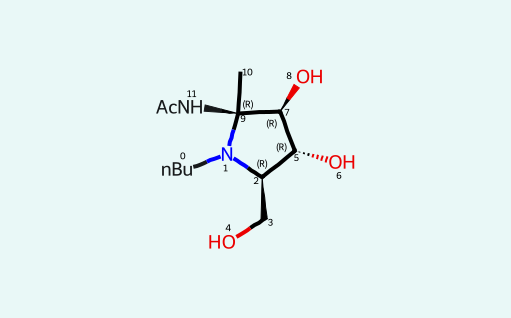 CCCCN1[C@H](CO)[C@@H](O)[C@H](O)[C@]1(C)NC(C)=O